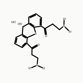 CCN(CC)CCC(=O)c1cccc2c1Sc1c(cccc1C(=O)CCN(CC)CC)C2.Cl.Cl